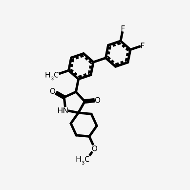 COC1CCC2(CC1)NC(=O)C(c1cc(-c3ccc(F)c(F)c3)ccc1C)C2=O